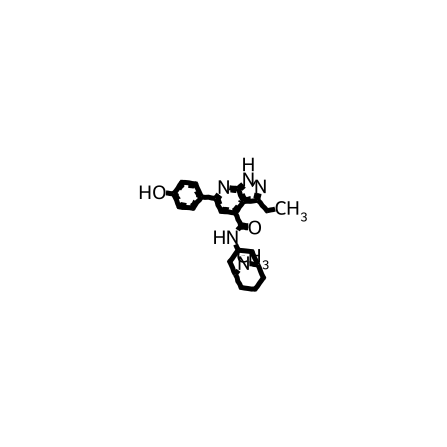 CCc1n[nH]c2nc(-c3ccc(O)cc3)cc(C(=O)NC3CC4CCCC(C3)N4C)c12